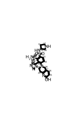 NS(=O)(=O)c1c(S(=O)(=O)N[C@@H]2CCNC2)ccc(N2CCc3nc(O)ccc3C2)c1-c1nnn[nH]1